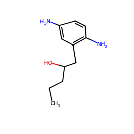 CCCC(O)Cc1cc(N)ccc1N